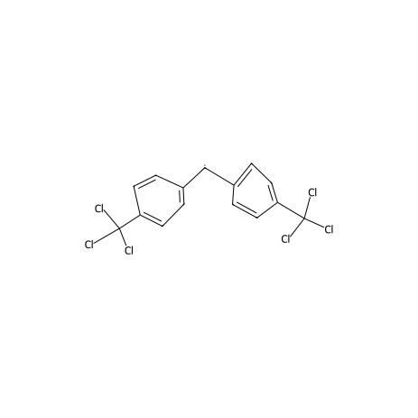 ClC(Cl)(Cl)c1ccc([CH]c2ccc(C(Cl)(Cl)Cl)cc2)cc1